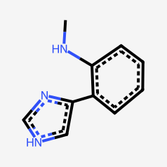 CNc1ccccc1-c1c[nH]cn1